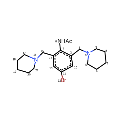 CC(=O)Nc1c(CN2CCCCC2)cc(Br)cc1CN1CCCCC1